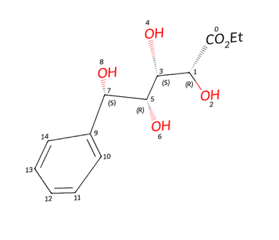 CCOC(=O)[C@H](O)[C@@H](O)[C@H](O)[C@@H](O)c1ccccc1